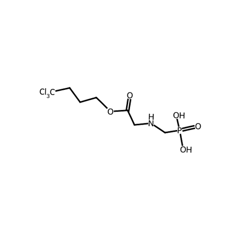 O=C(CNCP(=O)(O)O)OCCCC(Cl)(Cl)Cl